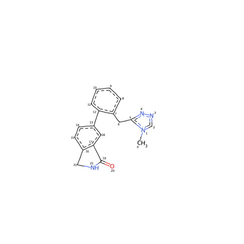 Cn1cnnc1Cc1ccccc1-c1ccc2c(c1)C(=O)NC2